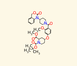 COC(=O)C1CC(Oc2ccc(C(=O)N3CCC(N4C(=O)OCc5ccccc54)CC3)c(OC)c2)CCN1C(=O)OC(C)(C)C